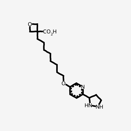 O=C(O)C1(CCCCCCCCOc2ccc(C3CCNN3)nc2)COC1